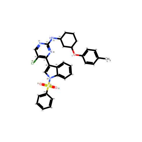 Cc1ccc(OC2CCCC(Nc3ncc(Cl)c(-c4cn(S(=O)(=O)c5ccccc5)c5ccccc45)n3)C2)cc1